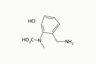 CN(C(=O)O)c1ccccc1CN.Cl